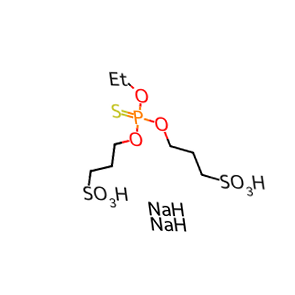 CCOP(=S)(OCCCS(=O)(=O)O)OCCCS(=O)(=O)O.[NaH].[NaH]